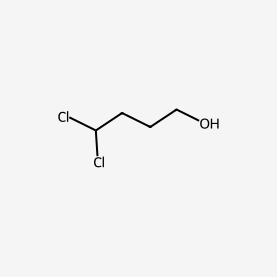 OCCCC(Cl)Cl